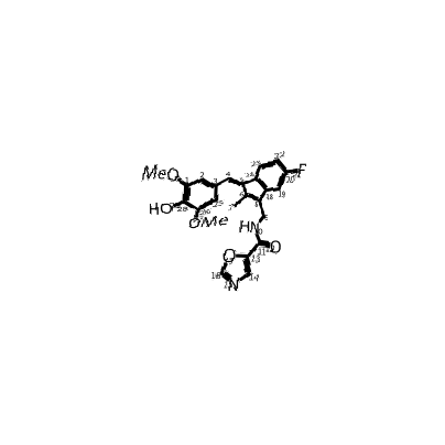 COc1cc(C=C2C(C)=C(CNC(=O)c3cnco3)c3cc(F)ccc32)cc(OC)c1O